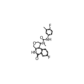 Cc1cc(NC(=O)N(C)[C@H]2COCc3[nH]c(=O)c4cc(F)ccc4c32)ccc1F